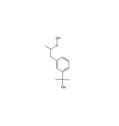 CC(Cc1cccc(C(C)(C)O)c1)OO